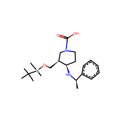 C[C@@H](N[C@@H]1CCN(C(=O)O)C[C@@H]1CO[Si](C)(C)C(C)(C)C)c1ccccc1